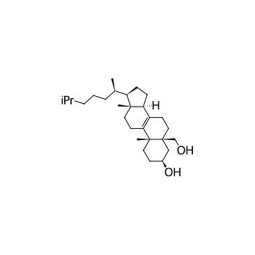 CC(C)CCC[C@@H](C)[C@H]1CC[C@H]2C3=C(CC[C@]12C)[C@@]1(C)CC[C@H](O)C[C@@]1(CO)CC3